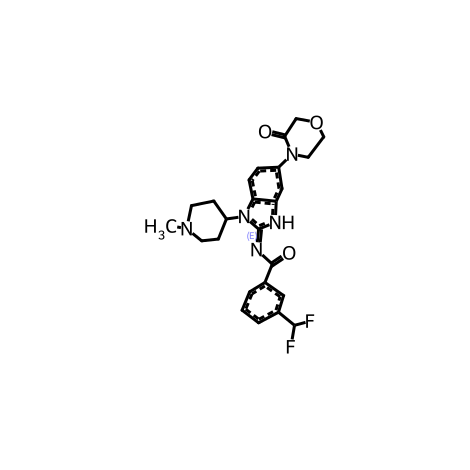 CN1CCC(n2/c(=N/C(=O)c3cccc(C(F)F)c3)[nH]c3cc(N4CCOCC4=O)ccc32)CC1